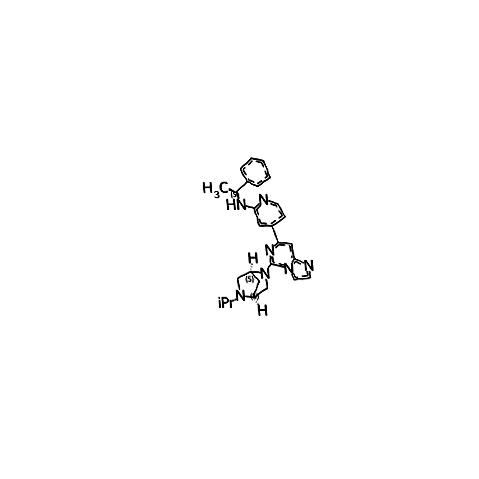 CC(C)N1C[C@@H]2C[C@H]1CN2c1nc(-c2ccnc(N[C@@H](C)c3ccccc3)c2)cc2nccn12